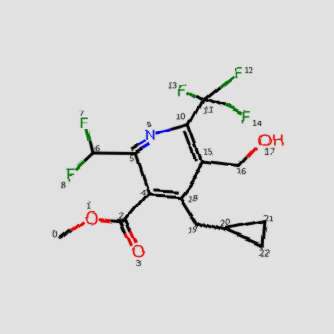 COC(=O)c1c(C(F)F)nc(C(F)(F)F)c(CO)c1CC1CC1